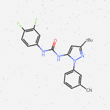 CC(C)(C)c1cc(NC(=O)Nc2ccc(F)c(F)c2)n(-c2cccc(C#N)c2)n1